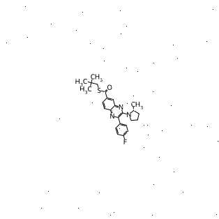 C[C@H]1CCCN1c1nc2cc(C(=O)SCC(C)(C)C)ccc2nc1-c1ccc(F)cc1